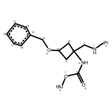 CC(C)NCC1(NC(=O)OC(C)(C)C)CC(OCc2ccccc2)C1